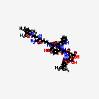 Cc1cc(C)c(C(=O)NCCCC[C@H](NC(=O)CCCCCNC(=O)[C@H](CCC(=O)O)NC(=O)[C@H](Cc2c[nH]c3ccccc23)NC(=O)[C@H](Cc2cccc(F)c2)NC(=O)CNC(=O)[C@H](CCC(=O)O)NC(=O)[C@@H](CC(=O)O)NS(=O)(=O)c2ccc(C(C)C)cc2)C(N)=O)c(C)c1